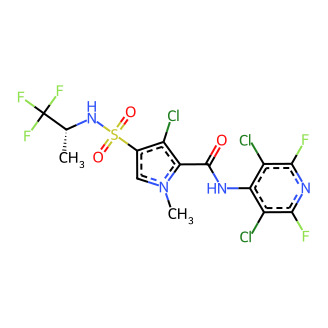 C[C@@H](NS(=O)(=O)c1cn(C)c(C(=O)Nc2c(Cl)c(F)nc(F)c2Cl)c1Cl)C(F)(F)F